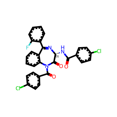 O=C(N[C@H]1N=C(c2ccccc2F)c2ccccc2N(C(=O)c2ccc(Cl)cc2)C1=O)c1ccc(Cl)cc1